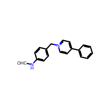 O=CNc1ccc(C[n+]2ccc(-c3ccccc3)cc2)cc1